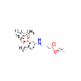 COC(=O)CCCNc1ccc(C)c(C(=O)OC(C)(C)C)c1